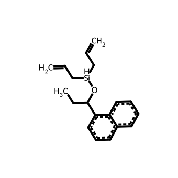 C=CC[SiH](CC=C)OC(CC)c1cccc2ccccc12